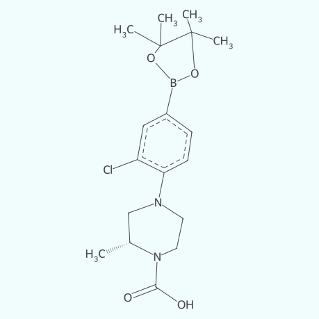 C[C@@H]1CN(c2ccc(B3OC(C)(C)C(C)(C)O3)cc2Cl)CCN1C(=O)O